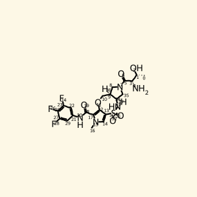 C[C@@H](O)[C@H](N)C(=O)N1C[C@@H]2COc3c(cn(C)c3C(=O)Nc3cc(F)c(F)c(F)c3)S(=O)(=O)N[C@@H]2C1